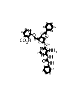 Nc1c(NC(=O)Nc2ccccc2)ncnc1NC1OC(COc2ncccc2C(=O)O)C2OC(c3ccccc3)OC12